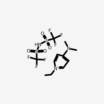 CC[n+]1ccc(N(C)C)cc1.O=S(=O)(NS(=O)(=O)C(F)(F)F)C(F)(F)F